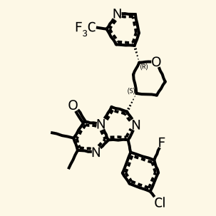 Cc1nc2c(-c3ccc(Cl)cc3F)nc([C@H]3CCO[C@@H](c4ccnc(C(F)(F)F)c4)C3)cn2c(=O)c1C